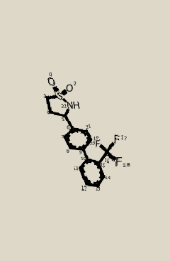 O=S1(=O)CCC(c2ccc(-c3ccccc3C(F)(F)F)cc2)N1